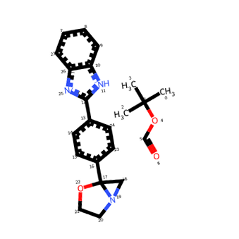 CC(C)(C)OC=O.c1ccc2[nH]c(-c3ccc(C45CN4CCO5)cc3)nc2c1